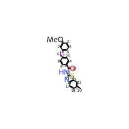 COc1cccc([I+]c2ccc(C(=O)Nc3nc4ccc(C)cc4s3)cc2)c1